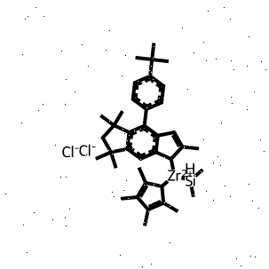 CC1=Cc2c(cc3c(c2-c2ccc(C(C)(C)C)cc2)C(C)(C)CC3(C)C)[CH]1[Zr+2]([CH]1C(C)=C(C)C(C)=C1C)[SiH](C)C.[Cl-].[Cl-]